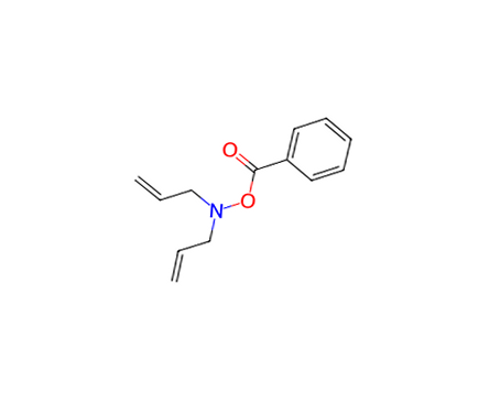 C=CCN(CC=C)OC(=O)c1ccccc1